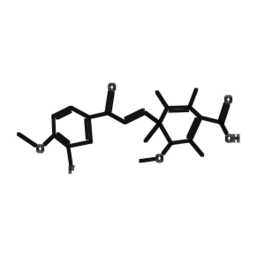 COc1ccc(C(=O)C=CC2(C)C(C)=C(C)C(C(=O)O)=C(C)C2OC)cc1F